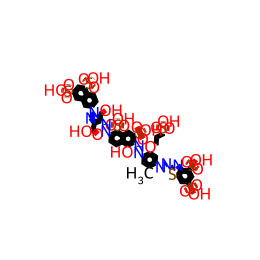 Cc1cc(N=Nc2c(S(=O)(=O)O)cc3c(S(=O)(=O)O)c(N=Nc4c(C(=O)O)nn(-c5ccc6c(S(=O)(=O)O)cc(S(=O)(=O)O)cc6c5)c4O)ccc3c2O)c(OCCCS(=O)(=O)O)cc1N=Nc1nc2c(S(=O)(=O)O)cc(S(=O)(=O)O)cc2s1